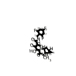 CN1C(=O)c2c(O)c(=O)c(C(=O)NCc3c(F)cc(F)cc3F)cn2[C@H]2C[C@@H]3CC3[C@H]21